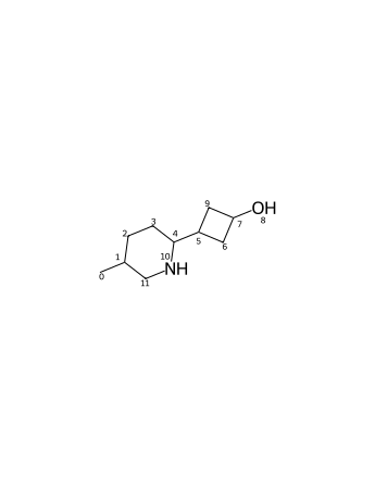 CC1CCC(C2CC(O)C2)NC1